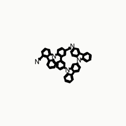 N#Cc1ccc(-n2c3ccccc3c3c(C#N)cccc32)c(-c2cccc(-n3c4ccccc4c4ccc(-n5c6ccccc6c6ccccc65)cc43)c2)c1